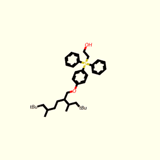 CC(CCC(COc1ccc(S(CCO)(c2ccccc2)c2ccccc2)cc1)C(C)CC(C)(C)C)CC(C)(C)C